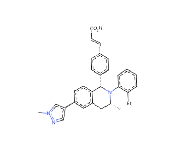 CCc1ccccc1N1[C@@H](c2ccc(/C=C/C(=O)O)cc2)c2ccc(-c3cnn(C)c3)cc2C[C@H]1C